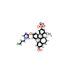 Cc1cc(S(C)(=O)=O)ccc1C1=C(c2ccc(O[C@H]3CCN(CCCF)C3)cc2)c2ccc(O)cc2CCC1